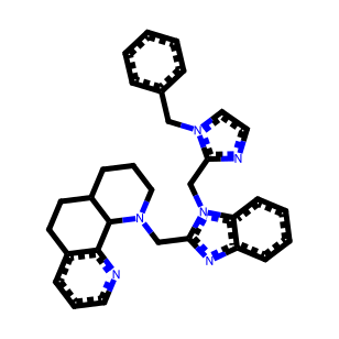 c1ccc(Cn2ccnc2Cn2c(CN3CCCC4CCc5cccnc5C43)nc3ccccc32)cc1